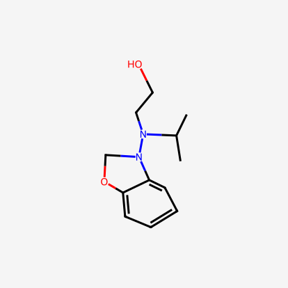 CC(C)N(CCO)N1COc2ccccc21